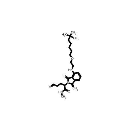 C=C1c2cccc(NCCOCCCCCC(C)(C)C)c2C(=O)N1C(CCC=O)C(=O)NC